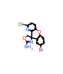 NC1=NC2(CO1)c1cc(Br)ccc1Oc1ccc(Cl)nc12